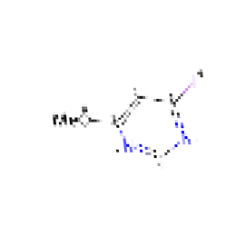 COc1cc(I)ncn1